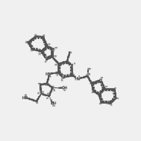 Cc1nc(N[C@H](C)c2cc3ccccc3o2)nc(NC2C[C@H](CO)[C@@H](O)[C@H]2O)c1-c1nc2ccccc2s1